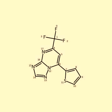 FC(F)(F)c1cc(-c2cccs2)n2ncnc2n1